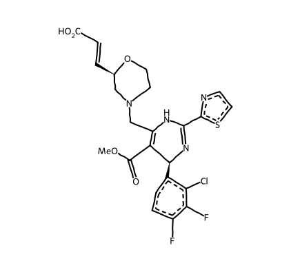 COC(=O)C1=C(CN2CCO[C@H](/C=C/C(=O)O)C2)NC(c2nccs2)=N[C@H]1c1ccc(F)c(F)c1Cl